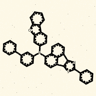 c1ccc(-c2cccc(N(c3ccc4c(c3)oc3ccccc34)c3ccc4c5c(cccc35)-c3nc(-c5ccccc5)sc3-4)c2)cc1